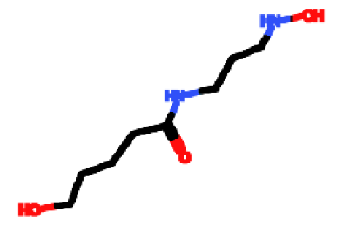 O=C(CCCCO)NCCCNO